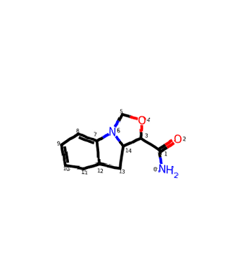 NC(=O)C1OCN2C3=CC=CCC3CC12